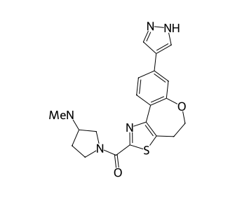 CNC1CCN(C(=O)c2nc3c(s2)CCOc2cc(-c4cn[nH]c4)ccc2-3)C1